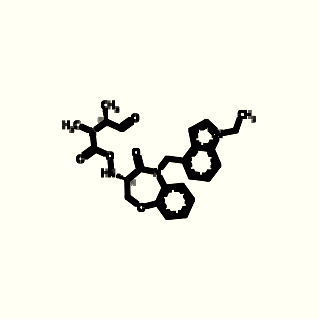 CCn1ccc2c(CN3C(=O)[C@@H](NOC(=O)N(C)[C@@H](C)C=O)COc4ccccc43)cccc21